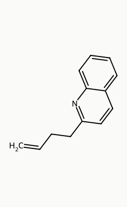 C=CCCc1ccc2ccccc2n1